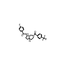 O=C(N[C@@H]1CC[C@H]2CCN(C(=O)c3ccc(C(F)(F)F)cc3)CN21)c1ccc(F)cc1